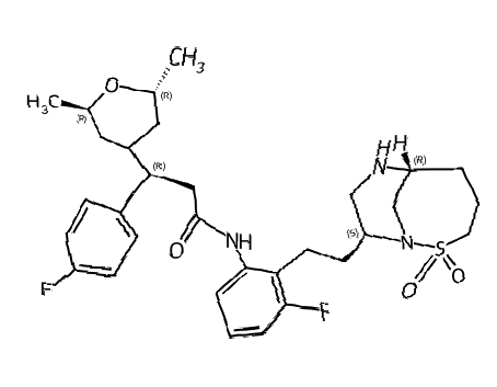 C[C@@H]1CC([C@@H](CC(=O)Nc2cccc(F)c2CC[C@H]2CN[C@@H]3CCCS(=O)(=O)N2C3)c2ccc(F)cc2)C[C@@H](C)O1